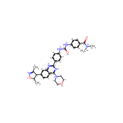 CC1=NOC(C)C1c1ccc2c(N3CCOCC3)nc(-c3ccc(NC(=O)Nc4ccc(C(=O)N(C)C)cc4)cc3)nc2c1